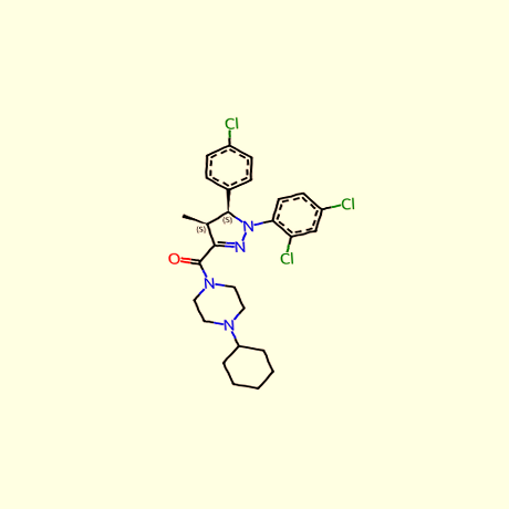 C[C@@H]1C(C(=O)N2CCN(C3CCCCC3)CC2)=NN(c2ccc(Cl)cc2Cl)[C@@H]1c1ccc(Cl)cc1